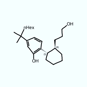 CCCCCCC(C)(C)c1ccc([C@H]2CCCC[C@@H]2CCCO)c(O)c1